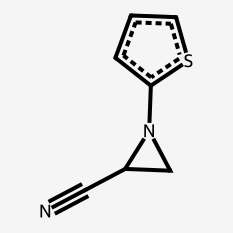 N#CC1CN1c1cccs1